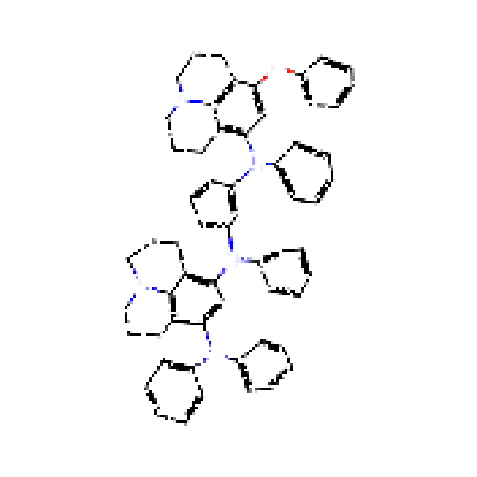 c1ccc(Oc2cc(N(c3ccccc3)c3cccc(N(c4ccccc4)c4cc(N(c5ccccc5)c5ccccc5)c5c6c4CCCN6CCC5)c3)c3c4c2CCCN4CCC3)cc1